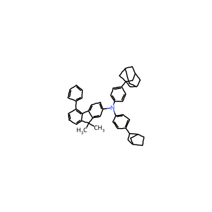 CC1(C)c2cc(N(c3ccc(C4CC5CCC4C5)cc3)c3ccc(C45CC6CC(CC(C6)C4)C5)cc3)ccc2-c2c(-c3ccccc3)cccc21